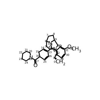 C=CCN1CCC2CCC(C1)N2C(C1=CCC(C(=O)N2CCCCC2)C=C1)c1cccc(OC)c1